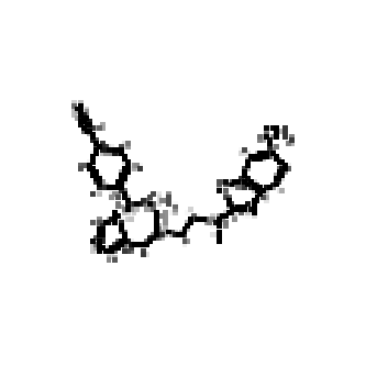 Cc1ccc2nc(NCCNCc3cncn3[C@H](C)c3ccc(C#N)cc3)oc2c1